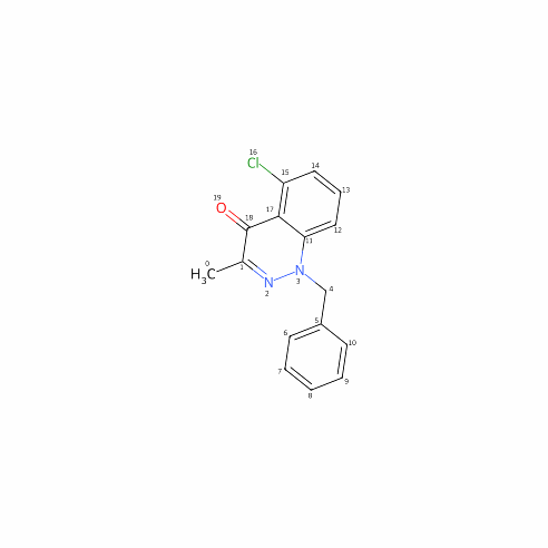 Cc1nn(Cc2ccccc2)c2cccc(Cl)c2c1=O